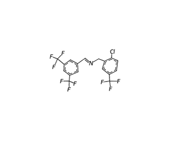 FC(F)(F)c1cc(/C=N/Cc2cc(C(F)(F)F)ccc2Cl)cc(C(F)(F)F)c1